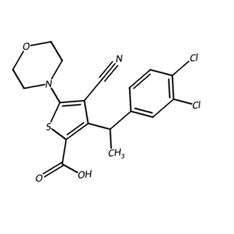 CC(c1ccc(Cl)c(Cl)c1)c1c(C(=O)O)sc(N2CCOCC2)c1C#N